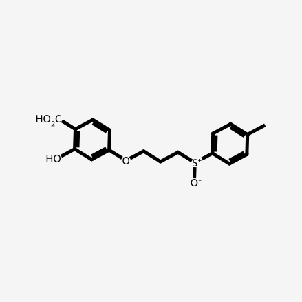 Cc1ccc([S+]([O-])CCCOc2ccc(C(=O)O)c(O)c2)cc1